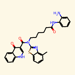 Cc1cccc2sc(N(CCCCCC(=O)Nc3ccccc3N)C(=O)c3c[nH]c4ccccc4c3=O)nc12